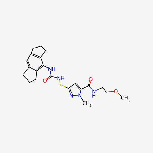 COCCNC(=O)c1cc(SNC(=O)Nc2c3c(cc4c2CCC4)CCC3)nn1C